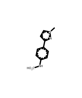 Cn1ccc(-c2ccc(NC(=O)O)cc2)n1